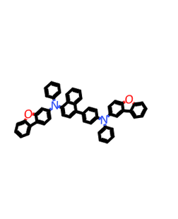 c1ccc(N(c2ccc(-c3ccc(N(c4ccccc4)c4ccc5c(c4)oc4ccccc45)c4ccccc34)cc2)c2ccc3oc4ccccc4c3c2)cc1